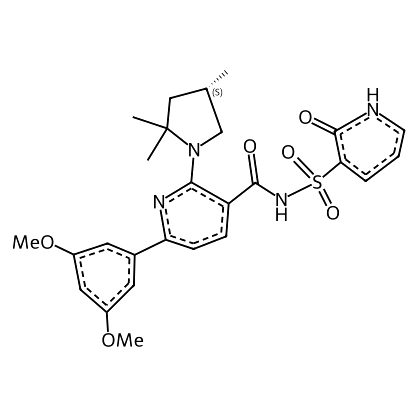 COc1cc(OC)cc(-c2ccc(C(=O)NS(=O)(=O)c3ccc[nH]c3=O)c(N3C[C@@H](C)CC3(C)C)n2)c1